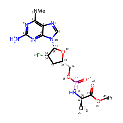 CNc1nc(N)nc2c1ncn2[C@@H]1O[C@H](CO[PH](=O)N[C@H](C)C(=O)OC(C)C)C[C@@H]1F